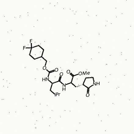 COC(=O)C(C[C@@H]1CCNC1=O)NC(=O)C(CC(C)C)NC(=O)OCC1CCC(F)(F)CC1